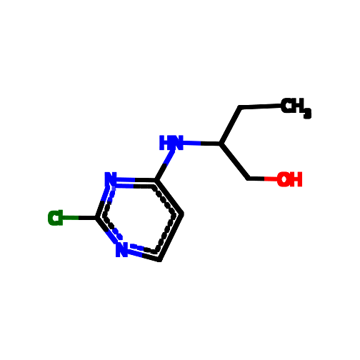 CCC(CO)Nc1ccnc(Cl)n1